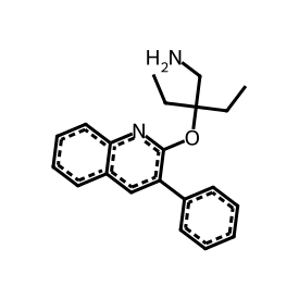 CCC(CC)(CN)Oc1nc2ccccc2cc1-c1ccccc1